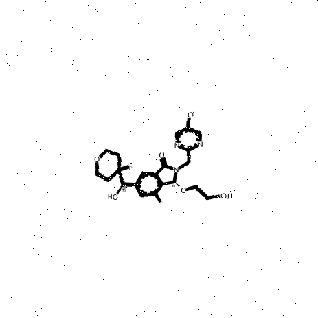 O=C1c2cc([C@@H](O)C3(F)CCOCC3)cc(F)c2[C@@H](OCCO)N1Cc1ncc(Cl)cn1